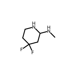 CNC1CC(F)(F)CCN1